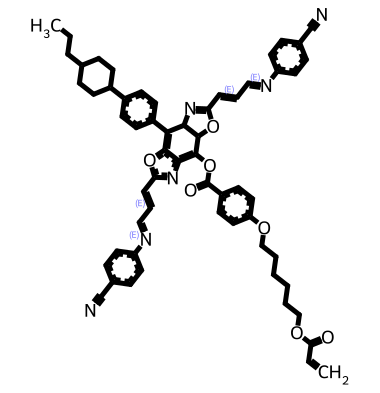 C=CC(=O)OCCCCCCOc1ccc(C(=O)OC2=c3nc(/C=C/C=N/c4ccc(C#N)cc4)oc3=C(c3ccc(C4CCC(CCC)CC4)cc3)C3N=C(/C=C/C=N/c4ccc(C#N)cc4)OC23)cc1